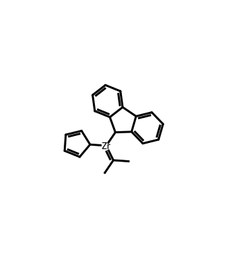 C[C](C)=[Zr]([CH]1C=CC=C1)[CH]1c2ccccc2-c2ccccc21